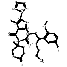 COc1ccc(F)cc1C(Cn1c(=O)n(C2(C)CCC(=O)NC2)c(=O)c2c(C)c(-n3nccn3)sc21)OCCO